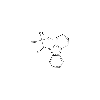 CC(C)(C)C(C)(C)C(=O)n1c2ccccc2c2ccccc21